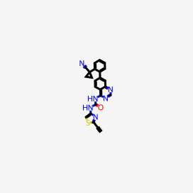 C#Cc1nc(NC(=O)Nc2ncnc3cc(-c4ccccc4C4(C#N)CC4)ccc23)cs1